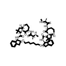 CN[C@@H](C)C(=S)N[C@H]1CCS[C@H]2CC(C)(C)[C@@H](C(=O)N[C@H]3c4ccccc4C[C@H]3OCCCCCCO[C@@H]3Cc4ccccc4[C@@H]3NC(=O)[C@H]3N4C(=O)[C@@H](NC(=S)[C@H](C)NC)CCS[C@H]4CC3(C)C)N2C1=O